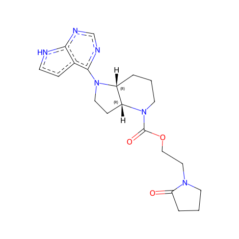 O=C1CCCN1CCOC(=O)N1CCC[C@@H]2[C@H]1CCN2c1ncnc2[nH]ccc12